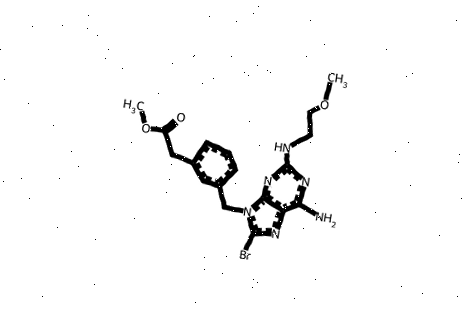 COCCNc1nc(N)c2nc(Br)n(Cc3cccc(CC(=O)OC)c3)c2n1